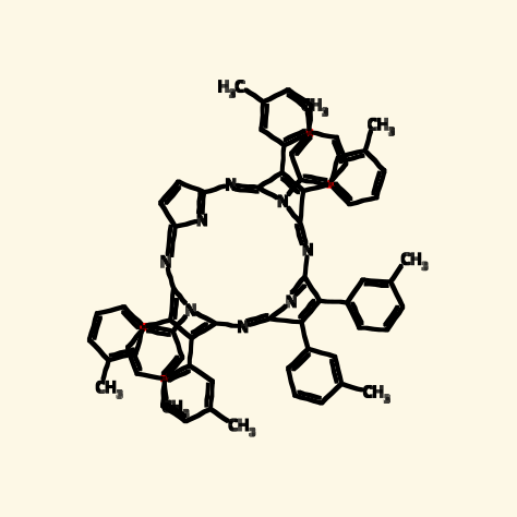 Cc1cccc(C2=C(c3cccc(C)c3)c3nc2nc2c(-c4cccc(C)c4)c(-c4cccc(C)c4)c(nc4nc(nc5c(-c6cccc(C)c6)c(-c6cccc(C)c6)c(n3)n5-c3cccc(C)c3)C=C4)n2-c2cccc(C)c2)c1